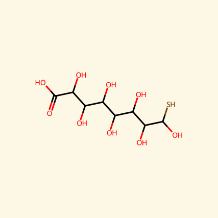 O=C(O)C(O)C(O)C(O)C(O)C(O)C(O)C(O)S